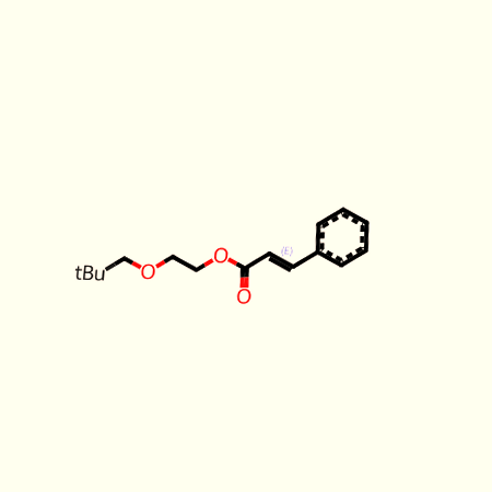 CC(C)(C)COCCOC(=O)/C=C/c1ccccc1